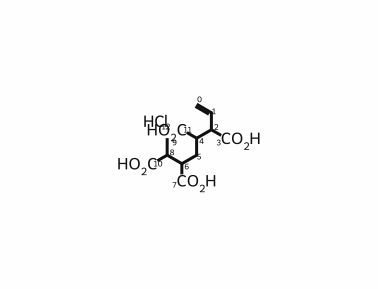 C=CC(C(=O)O)C(CC(C(=O)O)C(C)C(=O)O)C(=O)O.Cl